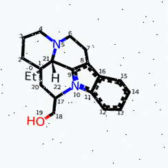 CC[C@@]12CCCN3CCc4c(n(c5ccccc45)C(CO)C1)[C@@H]32